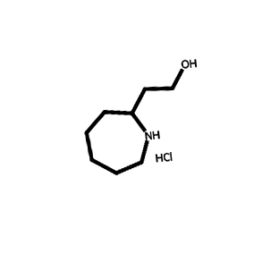 Cl.OCCC1CCCCCN1